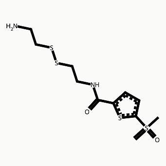 C=S(C)(=O)c1ccc(C(=O)NCCSSCCN)s1